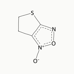 [O-][n+]1onc2c1CCS2